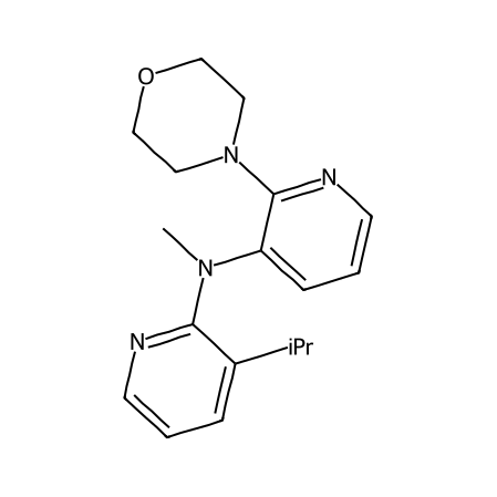 CC(C)c1cccnc1N(C)c1cccnc1N1CCOCC1